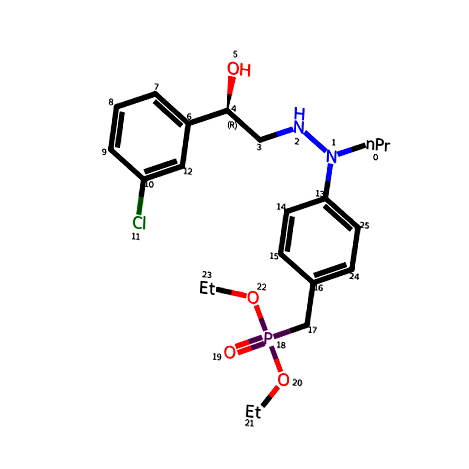 CCCN(NC[C@H](O)c1cccc(Cl)c1)c1ccc(CP(=O)(OCC)OCC)cc1